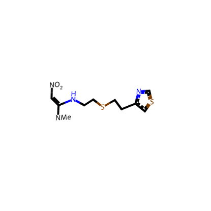 CN/C(=C/[N+](=O)[O-])NCCSCCc1cscn1